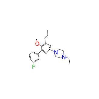 CCCc1cc(N2CCN(CC)CC2)cc(-c2cccc(F)c2)c1OC